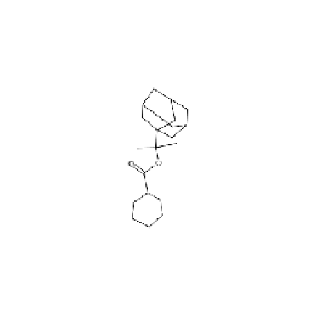 CC(C)(OC(=O)C1CCCCC1)C12CC3CC(CC(C3)C1)C2